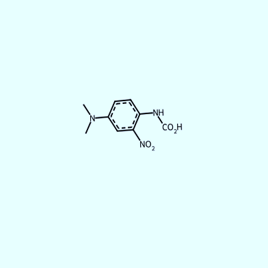 CN(C)c1ccc(NC(=O)O)c([N+](=O)[O-])c1